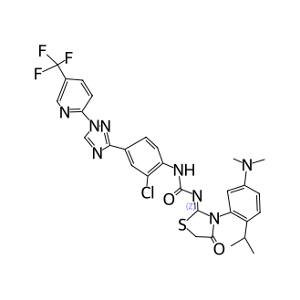 CC(C)c1ccc(N(C)C)cc1N1C(=O)CS/C1=N\C(=O)Nc1ccc(-c2ncn(-c3ccc(C(F)(F)F)cn3)n2)cc1Cl